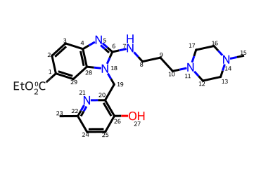 CCOC(=O)c1ccc2nc(NCCCN3CCN(C)CC3)n(Cc3nc(C)ccc3O)c2c1